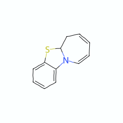 C1=CCC2Sc3ccccc3N2C=C1